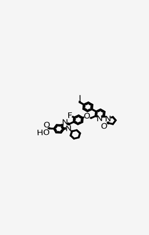 O=C(O)c1ccc2c(c1)nc(-c1ccc(OCc3nc(N4CCCC4=O)ccc3-c3ccc(CI)cc3)cc1F)n2C1CCCCC1